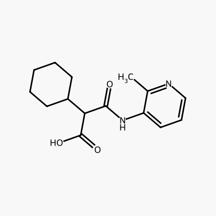 Cc1ncccc1NC(=O)C(C(=O)O)C1CCCCC1